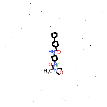 C[C@@H](C(=O)N(F)c1ccc(NC(=O)c2ccc(-c3ccccc3)cc2)cc1)N1CCOCC1